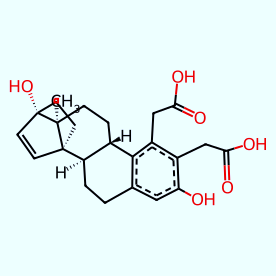 C[C@]12CC[C@@H]3c4c(cc(O)c(CC(=O)O)c4CC(=O)O)CC[C@H]3[C@@]13C=C[C@@]2(O)CC3